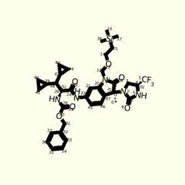 C[C@@]1(N2C[C@@H](C(F)(F)F)NC2=O)C(=O)N(COCC[Si](C)(C)C)c2cc(NC(=O)[C@@H](NC(=O)OCc3ccccc3)C(C3CC3)C3CC3)ccc21